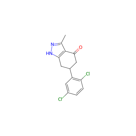 Cc1n[nH]c2c1C(=O)CC(c1cc(Cl)ccc1Cl)C2